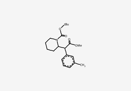 COC(=O)C(c1cccc(C)c1)C1CCCCN1C(=O)OC(C)(C)C